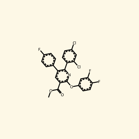 COC(=O)c1cc(-c2ccc(F)cc2)c(-c2ccc(Cl)cc2Cl)nc1Oc1ccc(F)c(F)c1